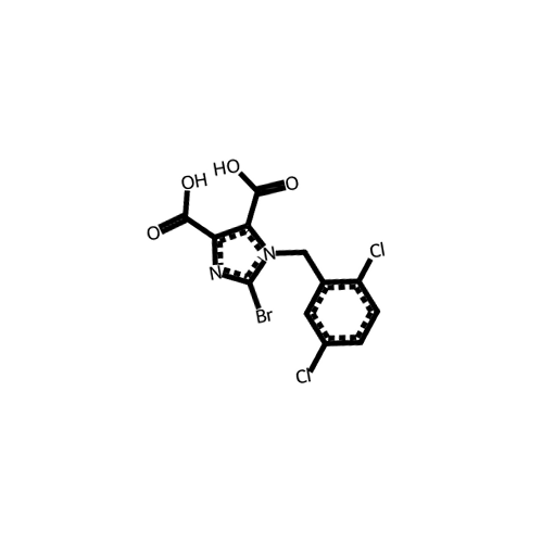 O=C(O)c1nc(Br)n(Cc2cc(Cl)ccc2Cl)c1C(=O)O